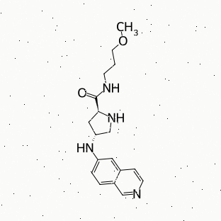 COCCCNC(=O)[C@@H]1C[C@@H](Nc2ccc3cnccc3c2)CN1